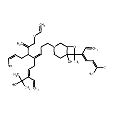 C=COCC(=C)C(C/C=C\N)/C(=C\CCN1CCC2(O)C(C1)OC2(C)/C(C=C)=C/C=C(\C)Cl)C/C=C(\C=C)C(C)(C)O